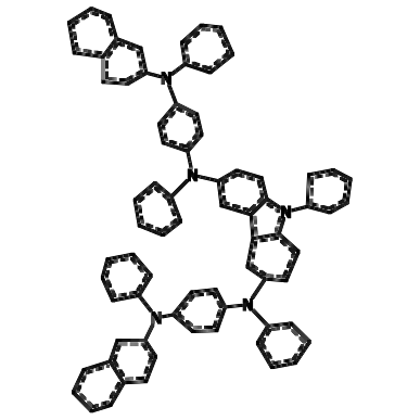 c1ccc(N(c2ccc(N(c3ccccc3)c3ccc4c(c3)c3cc(N(c5ccccc5)c5ccc(N(c6ccccc6)c6ccc7ccccc7c6)cc5)ccc3n4-c3ccccc3)cc2)c2ccc3ccccc3c2)cc1